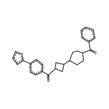 O=C(c1ccccc1)N1CCN(C2CN(C(=O)c3ccc(-c4cccs4)cc3)C2)CC1